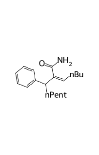 CCCC/C=C(\C(N)=O)C(CCCCC)c1ccccc1